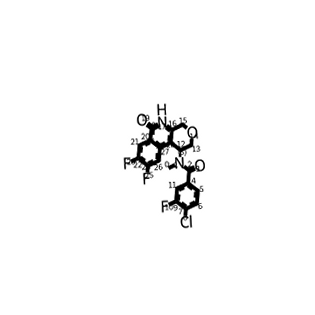 CN(C(=O)c1ccc(Cl)c(F)c1)[C@@H]1COCc2[nH]c(=O)c3cc(F)c(F)cc3c21